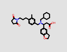 Cc1cc(CN(CC2CCCCC2)C(CC(=O)O)c2ccc3c(c2)CCO3)ccc1CCCN1C(=O)CCC1=O